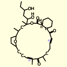 CCC(O)CC(O)C1(C)CC(C)C2CCC(CC/C=C(/C)C(=O)C(C)CC/C=C/C(=O)N3CCCC[C@H]3C(=O)O1)O2